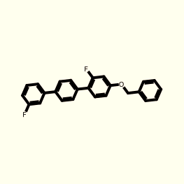 Fc1cccc(-c2ccc(-c3ccc(OCc4ccccc4)cc3F)cc2)c1